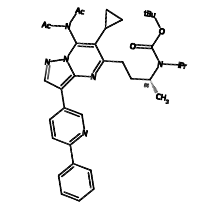 CC(=O)N(C(C)=O)c1c(C2CC2)c(CC[C@@H](C)N(C(=O)OC(C)(C)C)C(C)C)nc2c(-c3ccc(-c4ccccc4)nc3)cnn12